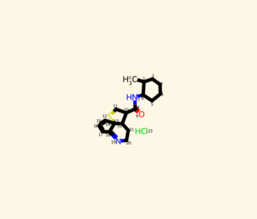 CC1CCCCC1NC(=O)C1CSC23C=CC=CC2=NCCC13.Cl